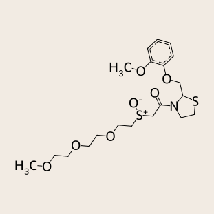 COCCOCCOCC[S+]([O-])CC(=O)N1CCSC1COc1ccccc1OC